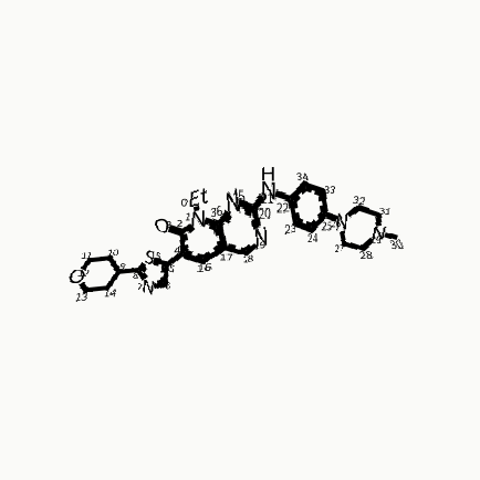 CCn1c(=O)c(-c2cnc(C3CCOCC3)s2)cc2cnc(Nc3ccc(N4CCN(C)CC4)cc3)nc21